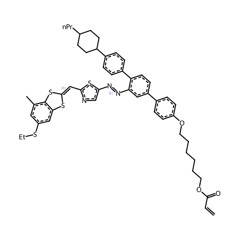 C=CC(=O)OCCCCCCOc1ccc(-c2ccc(-c3ccc(C4CCC(CCC)CC4)cc3)c(/N=N/c3cnc(/C=C4\Sc5cc(SCC)cc(C)c5S4)s3)c2)cc1